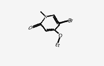 CCOc1cc(=O)n(C)cc1Br